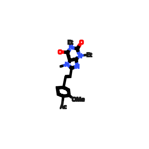 CCn1c(=O)c2c(nc(C=Cc3ccc(C(C)=O)c(OC)c3)n2C)n(CC)c1=O